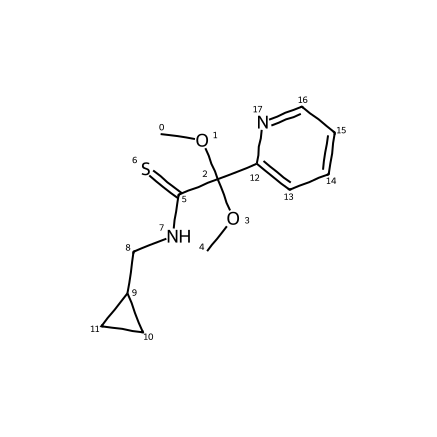 COC(OC)(C(=S)NCC1CC1)c1ccccn1